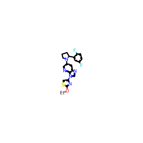 CCOc1nc(-n2cnc3cc(N4CCCC4c4cc(F)ccc4F)cnc32)cs1